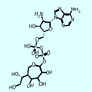 Nc1ncnc2c1ncn2[C@@H]1O[C@H](COP(=O)(S)OP(=O)(O)OC2OCC([C@@H](O)CO)C(O)C(O)C2O)[C@@H](O)[C@H]1N